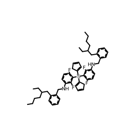 CCCCC(CC)Cc1ccccc1CNc1ccc(F)[c]([Ti]([C]2=CC=CC2)([C]2=CC=CC2)[c]2c(F)ccc(NCc3ccccc3CC(CC)CCCC)c2F)c1F